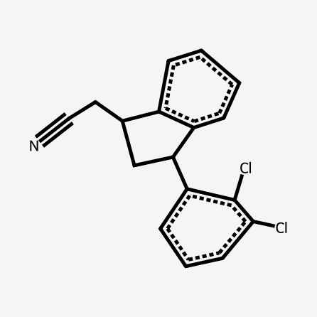 N#CCC1CC(c2cccc(Cl)c2Cl)c2ccccc21